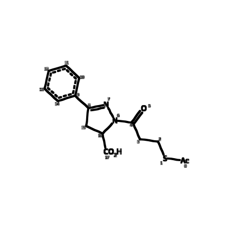 CC(=O)SCCC(=O)N1N=C(c2ccccc2)CC1C(=O)O